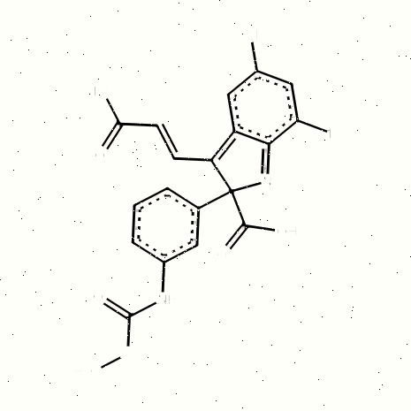 COC(=O)Nc1cccc(C2(C(=O)O)N=c3c(F)cc(Cl)cc3=C2C=CC(=O)O)c1